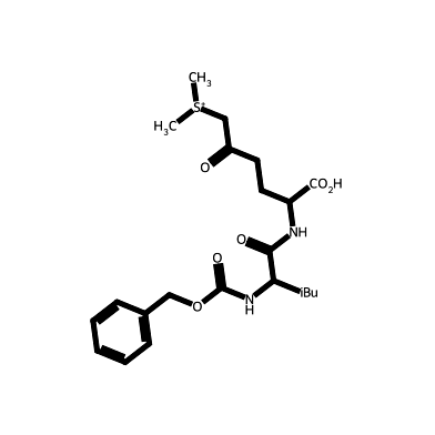 CCC(C)C(NC(=O)OCc1ccccc1)C(=O)NC(CCC(=O)C[S+](C)C)C(=O)O